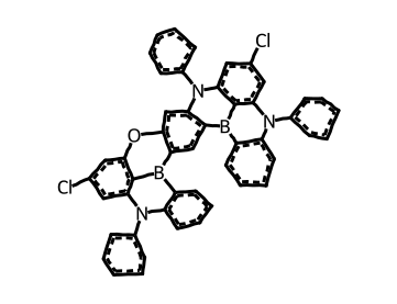 Clc1cc2c3c(c1)N(c1ccccc1)c1ccccc1B3c1cc3c(cc1O2)N(c1ccccc1)c1cc(Cl)cc2c1B3c1ccccc1N2c1ccccc1